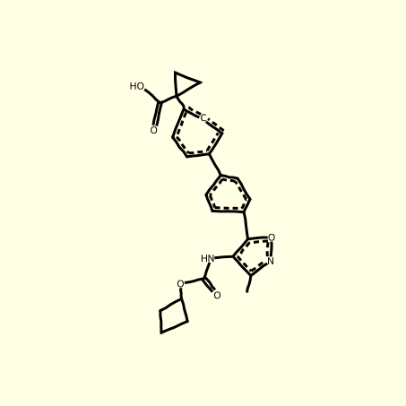 Cc1noc(-c2ccc(-c3ccc(C4(C(=O)O)CC4)cc3)cc2)c1NC(=O)OC1CCC1